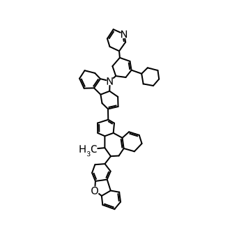 CC1C2C=CC(C3=CCC4C(C3)C3=C(CCC=C3)N4C3CC(C4CCCCC4)=CC(C4C=NC=CC4)C3)=CC2C2=C(CCC=C2)CC1C1C=C2C(=CC1)OC1C=CC=CC21